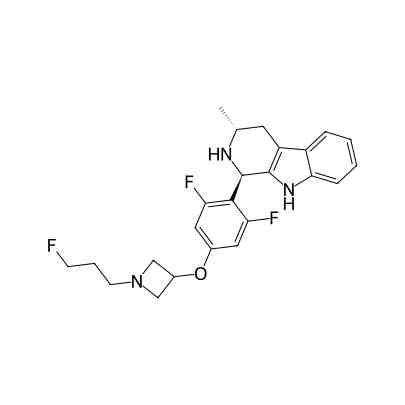 C[C@@H]1Cc2c([nH]c3ccccc23)[C@@H](c2c(F)cc(OC3CN(CCCF)C3)cc2F)N1